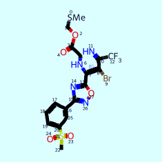 CSCOC(=O)CN/C(=C(/Br)C(=N)C(F)(F)F)c1nc(-c2cccc(S(C)(=O)=O)c2)no1